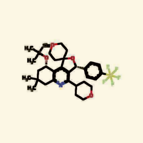 CC1(C)Cc2nc(C3CCOCC3)c3c(c2[C@@H](O[Si](C)(C)C(C)(C)C)C1)C1(CCOCC1)O[C@@H]3c1ccc(S(F)(F)(F)(F)F)cc1